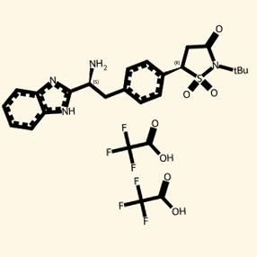 CC(C)(C)N1C(=O)C[C@H](c2ccc(C[C@H](N)c3nc4ccccc4[nH]3)cc2)S1(=O)=O.O=C(O)C(F)(F)F.O=C(O)C(F)(F)F